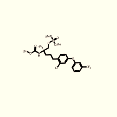 CCC[C@@](CCCc1ccc(Sc2cccc(C(F)(F)F)c2)cc1Cl)(COP(=O)(OC)OC)NC(=O)OC(C)(C)C